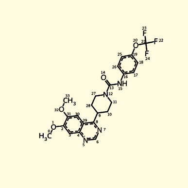 COc1cc2ncnc(C3CCN(C(=O)Nc4ccc(OC(F)(F)F)cc4)CC3)c2cc1OC